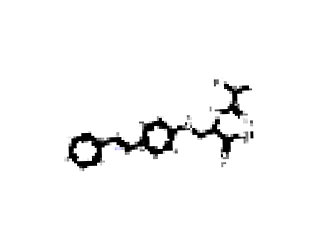 CC(Br)C(=O)OC(COc1ccc(/C=C/c2ccccc2)cc1)C(=O)O